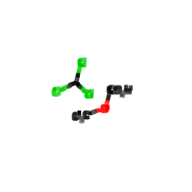 ClC(Cl)Cl.O=C(O)OC(Cl)(Cl)Cl